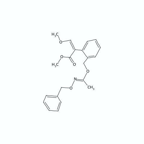 COC=C(C(=O)OC)c1ccccc1COC(C)=NOCc1ccccc1